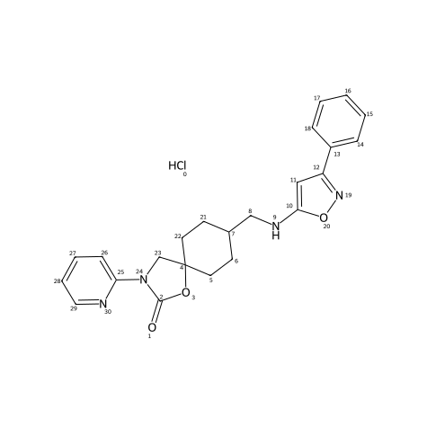 Cl.O=C1OC2(CCC(CNc3cc(-c4ccccc4)no3)CC2)CN1c1ccccn1